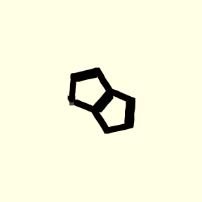 C1=CC2=[C](C1)[Y][CH]=C2